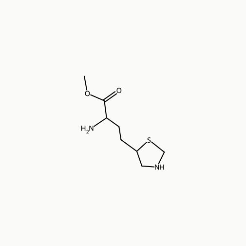 COC(=O)C(N)CCC1CNCS1